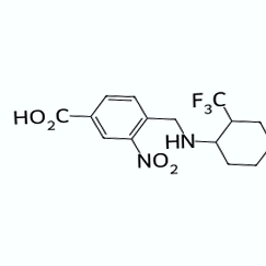 O=C(O)c1ccc(CNC2CCCCC2C(F)(F)F)c([N+](=O)[O-])c1